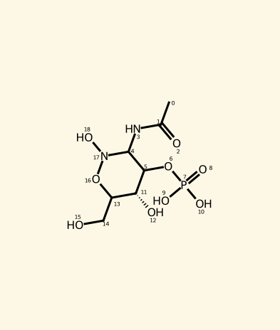 CC(=O)NC1C(OP(=O)(O)O)[C@H](O)C(CO)ON1O